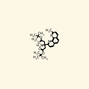 Cc1ccc2ccc3ccc(C(N)(CC(=O)OC(C)(C)C)CC(=O)OC(C)(C)C)nc3c2n1